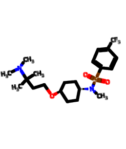 CN(C)C(C)(C)CCO[C@H]1CC[C@H](N(C)S(=O)(=O)c2ccc(C(F)(F)F)cc2)CC1